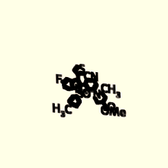 COC(=O)C1CCN(c2cccc(-c3c(-c4ccsc4C#N)c4cc(F)ccc4n3[S@+]([O-])c3ccc(C)cc3)c2)C(C)C1